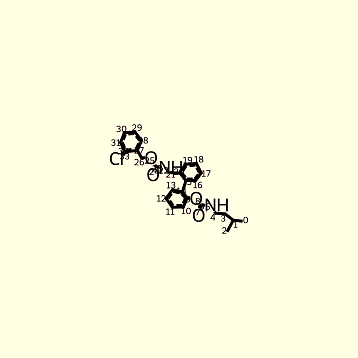 CC(C)CCNC(=O)Oc1ccccc1-c1ccccc1CNC(=O)OCc1ccccc1Cl